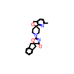 Cc1ccc2c(n1)C1(CCN(C3=NC(=O)C4(Cc5ccccc5C4)O3)CC1)OC2